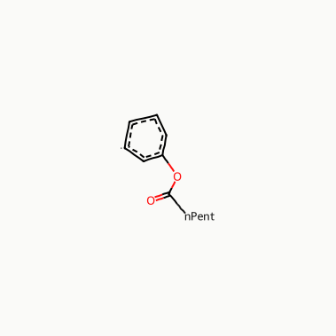 CCCCCC(=O)Oc1c[c]ccc1